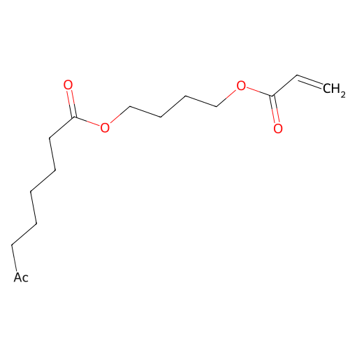 C=CC(=O)OCCCCOC(=O)CCCCCC(C)=O